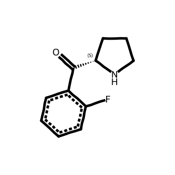 O=C(c1ccccc1F)[C@@H]1CCCN1